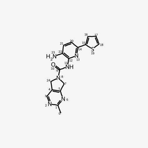 Cc1ncc2c(n1)CN(C(=O)Nc1nc(-c3cccs3)ccc1N)C2